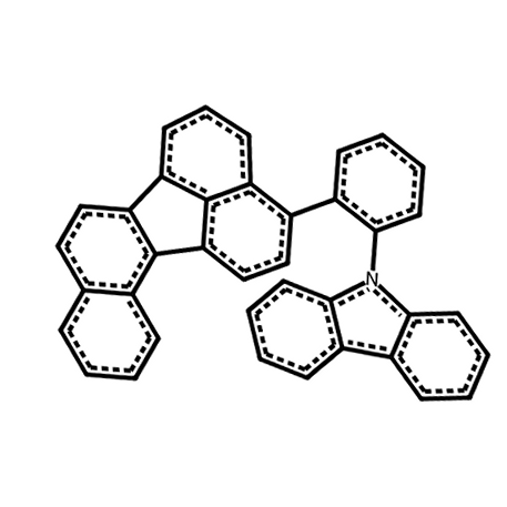 c1ccc(-n2c3ccccc3c3ccccc32)c(-c2ccc3c4c(cccc24)-c2ccc4ccccc4c2-3)c1